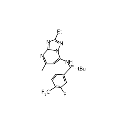 CCc1nc2nc(C)cc(N[C@@H](c3ccc(C(F)(F)F)c(F)c3)C(C)(C)C)n2n1